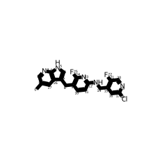 Cc1cnc2[nH]cc(Cc3ccc(NCc4cc(Cl)ncc4F)nc3F)c2c1